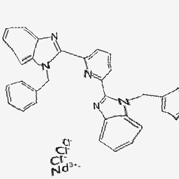 [Cl-].[Cl-].[Cl-].[Nd+3].c1ccc(Cn2c(-c3cccc(-c4nc5ccccc5n4Cc4ccccc4)n3)nc3ccccc32)cc1